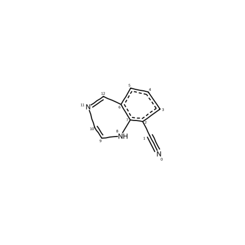 N#Cc1cccc2c1NC=CN=C2